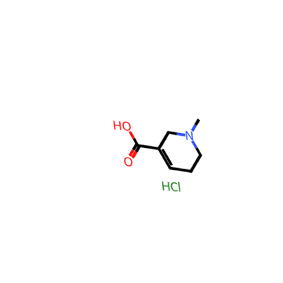 CN1CCC=C(C(=O)O)C1.Cl